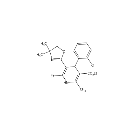 CCOC(=O)C1=C(C)NC(CC)=C(C2=NC(C)(C)CO2)C1c1ccccc1Cl